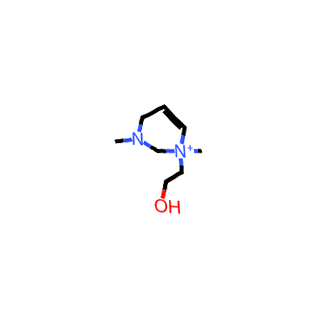 CN1CC=C[N+](C)(CCO)C1